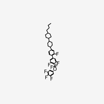 CCCCC1CCC(C2CCC(c3ccc(-c4cc(F)c(C(F)(F)Oc5cc(F)c(F)c(F)c5)c(F)c4)c(F)c3)CC2)CC1